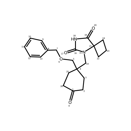 O=C1CCC(COCc2ccccc2)(CN2C(=O)NC(=O)C23CCC3)CC1